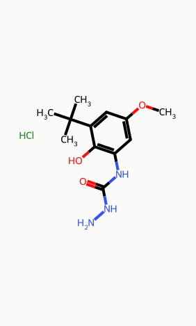 COc1cc(NC(=O)NN)c(O)c(C(C)(C)C)c1.Cl